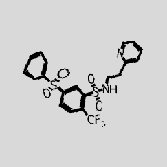 O=S(=O)(NCCc1ccccn1)c1cc(S(=O)(=O)c2ccccc2)ccc1C(F)(F)F